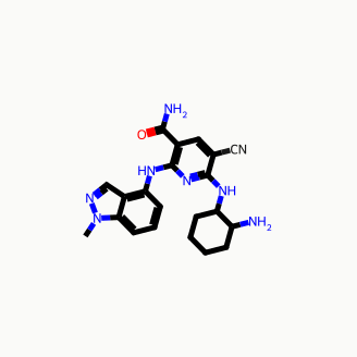 Cn1ncc2c(Nc3nc(NC4CCCCC4N)c(C#N)cc3C(N)=O)cccc21